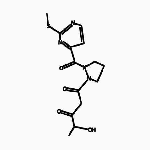 CSc1nccc(C(=O)N2CCCN2C(=O)CC(=O)C(C)O)n1